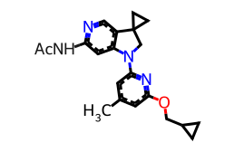 CC(=O)Nc1cc2c(cn1)C1(CC1)CN2c1cc(C)cc(OCC2CC2)n1